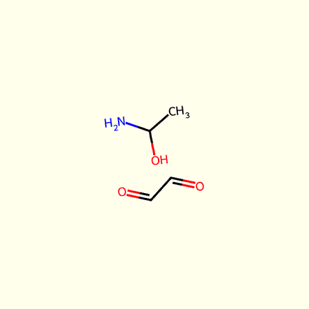 CC(N)O.O=CC=O